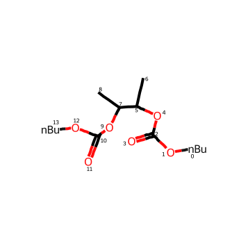 CCCCOC(=O)OC(C)C(C)OC(=O)OCCCC